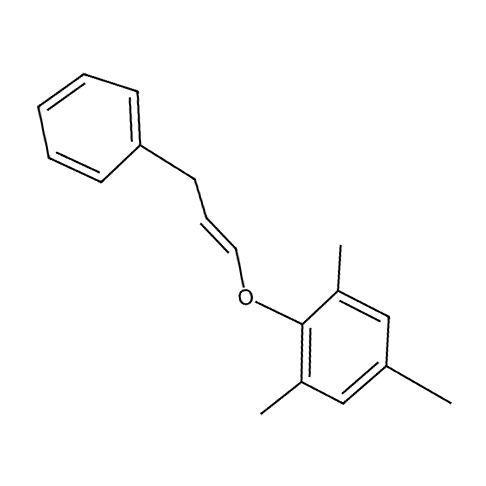 Cc1cc(C)c(OC=CCc2ccccc2)c(C)c1